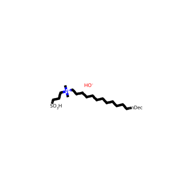 CCCCCCCCCCCCCCCCCCCCCC[N+](C)(C)CCCS(=O)(=O)O.[OH-]